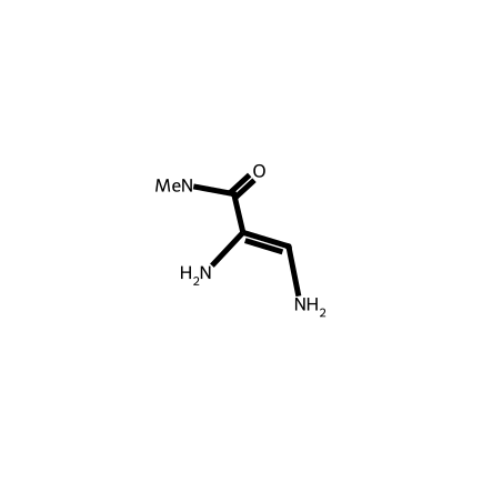 CNC(=O)C(N)=CN